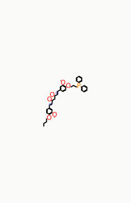 CCCCOc1ccc(/C=C/C(=O)CC(=O)/C=C/c2ccc(OCCCP(c3ccccc3)c3ccccc3)c(OC)c2)cc1OC